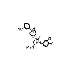 CNCCN(C(=O)Nc1ccc(Cl)c(Cl)c1)[C@@H]1CC[C@]2(c3cccc(C#N)c3)CC2C1